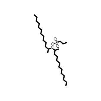 CCCCCCCCCCCC(C)N(OS(=O)(=O)CCC)C(C)CCCCCCCCCCC